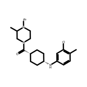 Cc1ccc(N[C@H]2CC[C@@H](C(=O)N3CCN(C(C)C)C(C)C3)CC2)cc1Cl